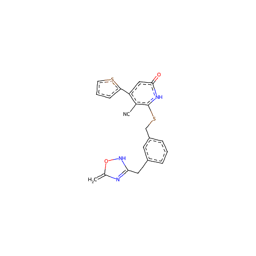 C=C1N=C(Cc2cccc(CSc3[nH]c(=O)cc(-c4cccs4)c3C#N)c2)NO1